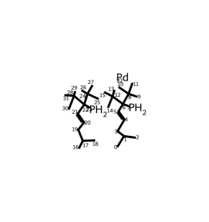 CC(C)CC=CC(P)(C(C)(C)C)C(C)(C)C.CC(C)CC=CC(P)(C(C)(C)C)C(C)(C)C.[Pd]